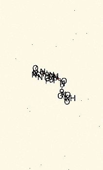 CCOc1cc(-c2ccc(N3CCC(CN4CCN(C5CC6(CC(C(=O)N7CCC(c8ccc9c(c8)CN(C8CCC(=O)NC8=O)C9=O)CC7)C6)C5)CC4)(NC(=O)c4cc(F)ccc4F)CC3)nc2)c2c(C#N)cnn2c1